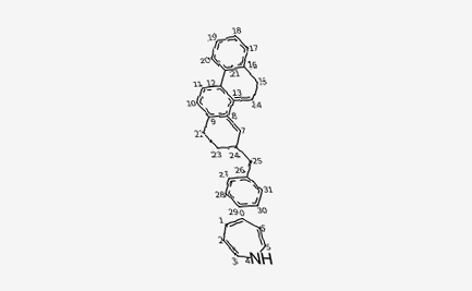 C1=CC=CNC=C1.C1=c2c(ccc3c2=CCc2ccccc2-3)CCC1Cc1ccccc1